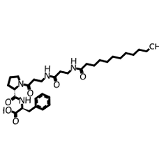 CCCCCCCCCCCC(=O)NCCC(=O)NCCC(=O)N1CCC[C@H]1C(=O)N[C@@H](Cc1ccccc1)C(=O)O